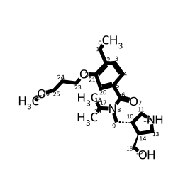 CCc1ccc(C(=O)N(C[C@@H]2CNC[C@H]2CO)C(C)C)cc1OCCCOC